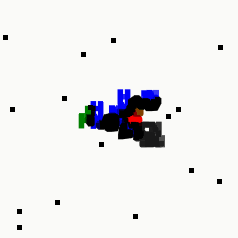 CC(C)(C)/C=C(\C#N)C(=O)N1CCC[C@@H]1Cn1c(NC(=O)c2ccc(-c3cccnn3)s2)nc2cc(CNCC(F)F)ccc21